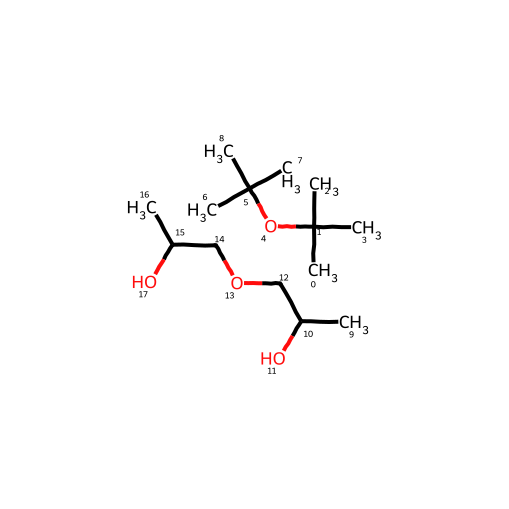 CC(C)(C)OC(C)(C)C.CC(O)COCC(C)O